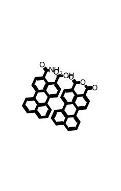 NC(=O)c1ccc2c3cccc4cccc(c5ccc(C(=O)O)c1c25)c43.O=C1OC(=O)c2ccc3c4cccc5cccc(c6ccc1c2c63)c54